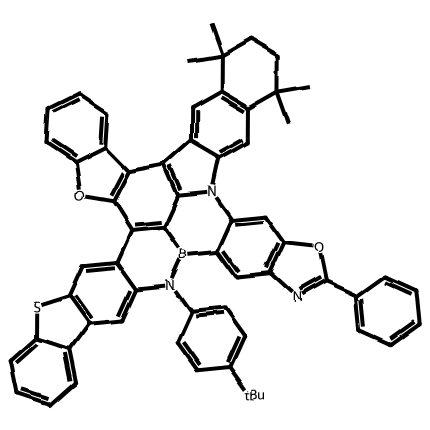 CC(C)(C)c1ccc(N2B3c4cc5nc(-c6ccccc6)oc5cc4-n4c5cc6c(cc5c5c7c(oc8ccccc87)c(c3c54)-c3cc4sc5ccccc5c4cc32)C(C)(C)CCC6(C)C)cc1